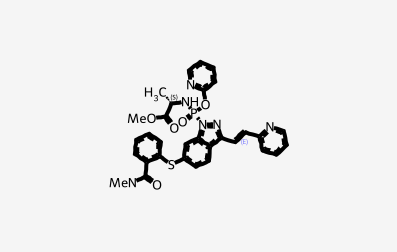 CNC(=O)c1ccccc1Sc1ccc2c(/C=C/c3ccccn3)nn(P(=O)(N[C@@H](C)C(=O)OC)Oc3ccccn3)c2c1